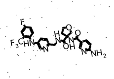 Nc1ccc(C(=O)NC2(C(=O)NCc3ccc(Nc4ccc(F)cc4C(F)(F)F)cn3)CCOC2)cn1